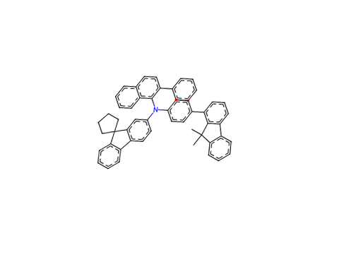 CC1(C)c2ccccc2-c2cccc(-c3ccc(N(c4ccc5c(c4)C4(CCCC4)c4ccccc4-5)c4c(-c5ccccc5)ccc5ccccc45)cc3)c21